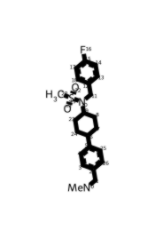 CNCc1ccc(C2CCC(N(Cc3ccc(F)cc3)S(C)(=O)=O)CC2)cc1